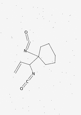 C=CC(N=C=O)C1(N=C=O)CCCCC1